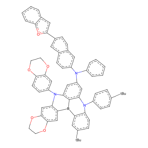 CC(C)(C)c1ccc(N2c3ccc(C(C)(C)C)cc3B3c4cc5c(cc4N(c4ccc6c(c4)OCCO6)c4cc(N(c6ccccc6)c6ccc7cc(-c8cc9ccccc9o8)ccc7c6)cc2c43)OCCO5)cc1